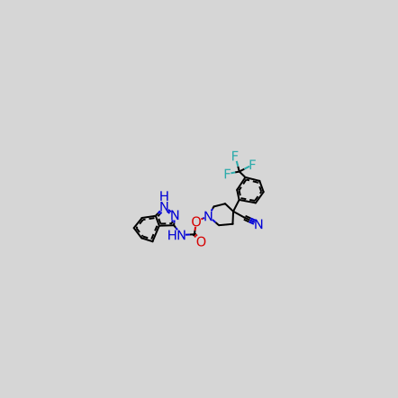 N#CC1(c2cccc(C(F)(F)F)c2)CCN(OC(=O)Nc2n[nH]c3ccccc23)CC1